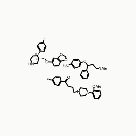 CNCCC(Oc1ccc(C(F)(F)F)cc1)c1ccccc1.COc1ccccc1N1CCN(CCCC(=O)c2ccc(F)cc2)CC1.Fc1ccc([C@@H]2CCNC[C@H]2COc2ccc3c(c2)OCO3)cc1